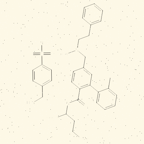 CCCCN(CCc1ccccc1)Cc1ccc(C(=O)NC(CCSC)C(=O)O)c(-c2ccccc2C)c1.NCc1ccc(S(N)(=O)=O)cc1